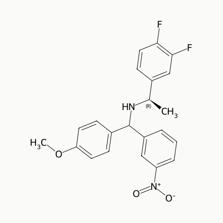 COc1ccc(C(N[C@H](C)c2ccc(F)c(F)c2)c2cccc([N+](=O)[O-])c2)cc1